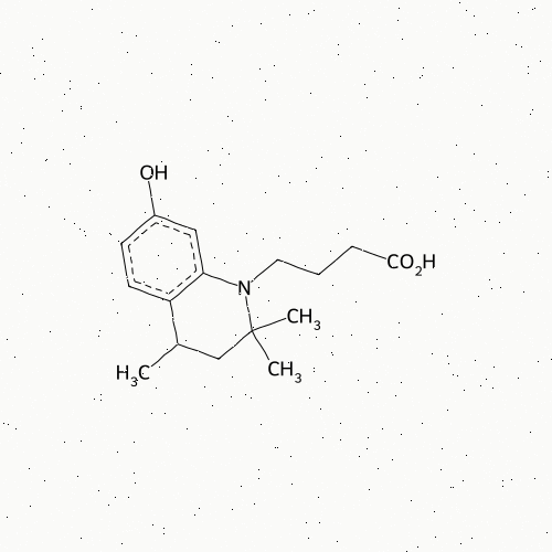 CC1CC(C)(C)N(CCCC(=O)O)c2cc(O)ccc21